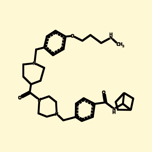 CNCCCOc1ccc(CN2CCC(C(=O)N3CCN(Cc4ccc(C(=O)NC5C6CCC5C6)cc4)CC3)CC2)cc1